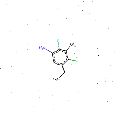 CCc1cc(N)c(F)c(C)c1Cl